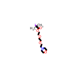 CC(C)(I)C(=O)OCCOCCOCCN1CCOCC1